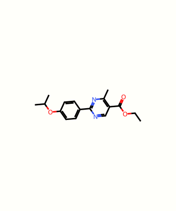 CCOC(=O)c1cnc(-c2ccc(OC(C)C)cc2)nc1C